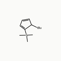 CC(C)(C)[C]1C=CC=C1[Si](C)(C)C